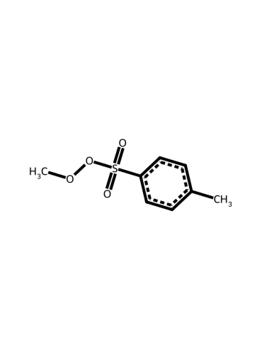 COOS(=O)(=O)c1ccc(C)cc1